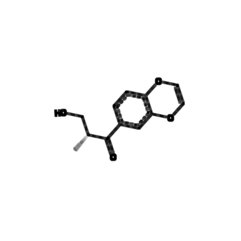 C[C@H](CO)C(=O)c1ccc2c(c1)OC=CO2